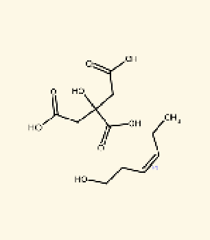 CC/C=C\CCO.O=C(O)CC(O)(CC(=O)O)C(=O)O